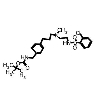 CN(CCCc1ccc(CNC(=O)OC(C)(C)C)cc1)CCNS(=O)(=O)c1ccccc1Cl